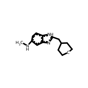 CNc1ccc2[nH]c(CC3CCCCC3)nc2c1